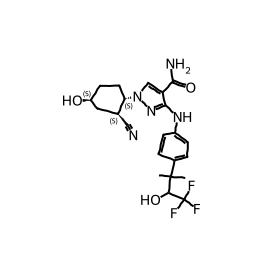 CC(C)(c1ccc(Nc2nn([C@H]3CC[C@H](O)C[C@@H]3C#N)cc2C(N)=O)cc1)C(O)C(F)(F)F